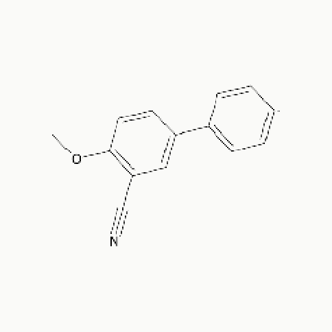 COc1ccc(-c2cc[c]cc2)cc1C#N